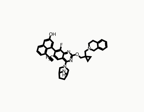 C#Cc1cccc2cc(O)cc(-c3c(C(F)(F)F)cc4c(N5CC6CCC(C5)N6)nc(OCC5(CN6CCc7ccccc7C6)CC5)nc4c3F)c12